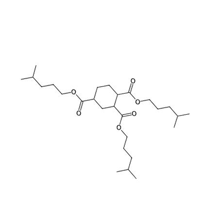 CC(C)CCCOC(=O)C1CCC(C(=O)OCCCC(C)C)C(C(=O)OCCCC(C)C)C1